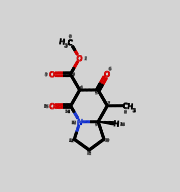 COC(=O)C1C(=O)C(C)[C@@H]2CCCN2C1=O